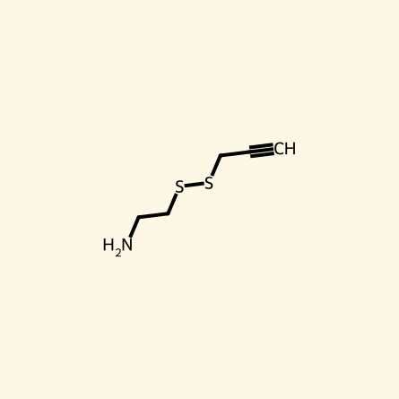 C#CCSSCCN